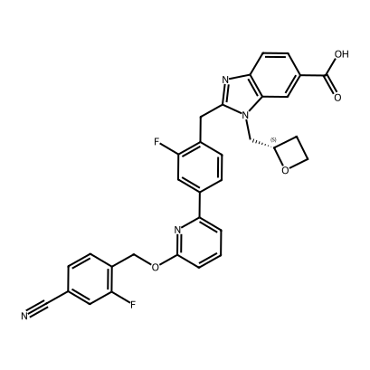 N#Cc1ccc(COc2cccc(-c3ccc(Cc4nc5ccc(C(=O)O)cc5n4C[C@@H]4CCO4)c(F)c3)n2)c(F)c1